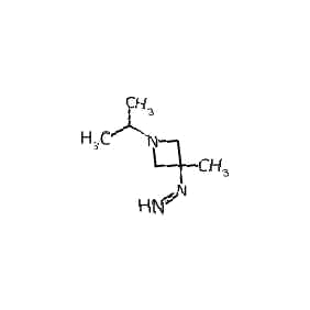 CC(C)N1CC(C)(N=N)C1